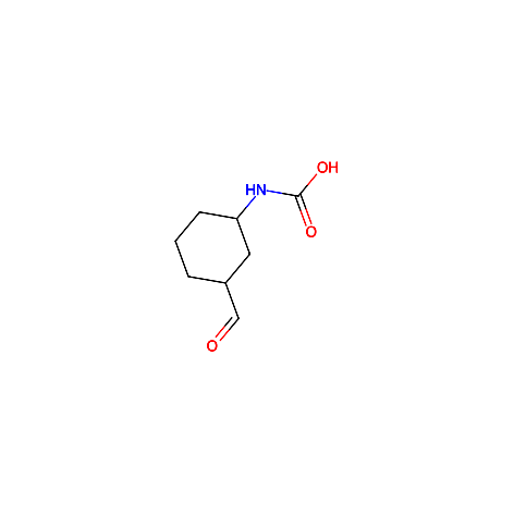 O=CC1CCCC(NC(=O)O)C1